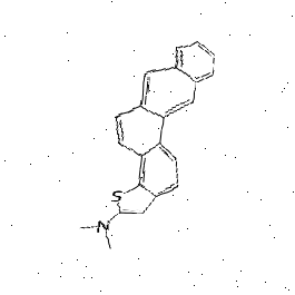 CN(C)c1cc2ccc3c4cc5ccccc5cc4ccc3c2s1